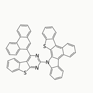 c1ccc2c(c1)cc(-c1nc(-n3c4ccccc4c4c5ccccc5c5c6ccccc6sc5c43)nc3sc4ccccc4c13)c1ccccc12